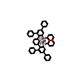 C[Si](C)(C)c1c(-c2c(Nc3ccccc3)cc(-c3ccccc3)cc2-c2ccccc2)cccc1-c1c(Nc2ccccc2)cc(-c2ccccc2)cc1-c1ccccc1